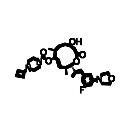 C/C(=C\c1cc(F)cc(N2CCOCC2)c1)[C@H]1OC(=O)C[C@H](O)CC[C@H](C)[C@H](OC(=O)N2CCN(C3CCC3)CC2)/C=C/[C@@H]1C